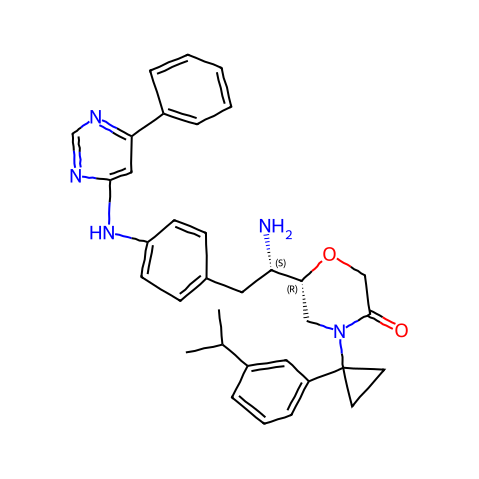 CC(C)c1cccc(C2(N3C[C@H]([C@@H](N)Cc4ccc(Nc5cc(-c6ccccc6)ncn5)cc4)OCC3=O)CC2)c1